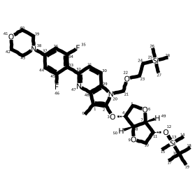 Cc1c(O[C@@H]2CO[C@H]3[C@@H]2OC[C@H]3O[Si](C)(C)C(C)(C)C)n(COCC[Si](C)(C)C)c2ccc(-c3c(F)cc(N4CCOCC4)cc3F)nc12